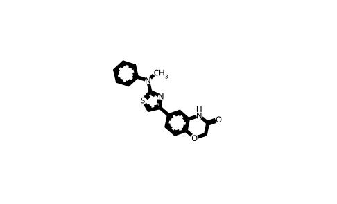 CN(c1ccccc1)c1nc(-c2ccc3c(c2)NC(=O)CO3)cs1